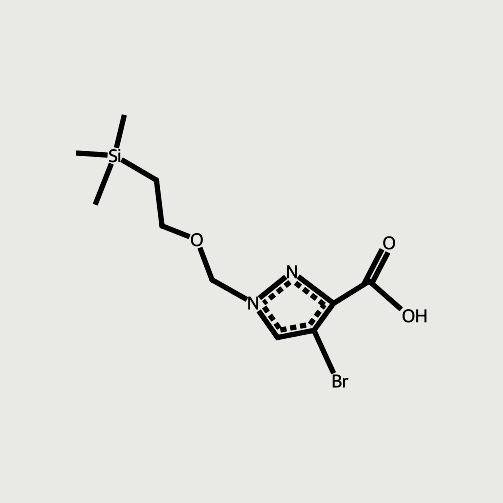 C[Si](C)(C)CCOCn1cc(Br)c(C(=O)O)n1